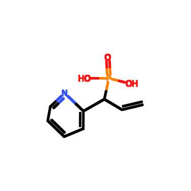 C=CC(c1ccccn1)P(=O)(O)O